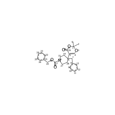 CC1(C)OC=C(C2(Cc3ccccc3)CCN(C(=O)OCc3ccccc3)CC2)C(=O)O1